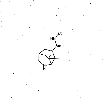 CCNC(=O)N1CC2CNC(C1)C(C)(C)C2